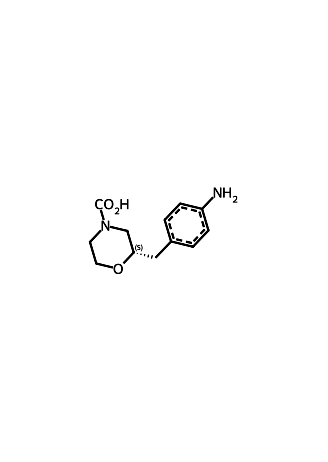 Nc1ccc(C[C@H]2CN(C(=O)O)CCO2)cc1